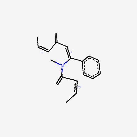 C=C(/C=C\C)/C=C(/c1ccccc1)N(C)C(=C)/C=C\C